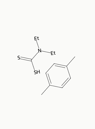 CCN(CC)C(=S)S.Cc1ccc(C)cc1